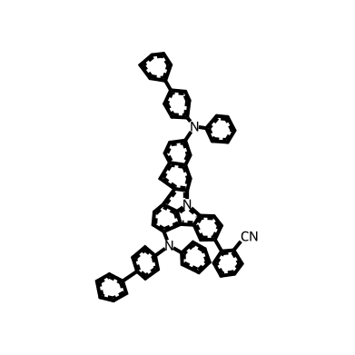 N#Cc1ccccc1-c1ccc2c(c1)c1c(N(c3ccccc3)c3ccc(-c4ccccc4)cc3)ccc3c4cc5ccc(N(c6ccccc6)c6ccc(-c7ccccc7)cc6)cc5cc4n2c31